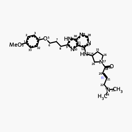 COc1ccc(OCCCc2nc3c(NC4CCN(C(=O)/C=C/CN(C)C)C4)ncnc3[nH]2)cc1